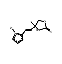 CCn1cccc1C=C[C@]1(C)COC(=O)N1